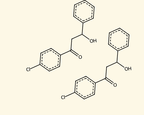 O=C(CC(O)c1ccccc1)c1ccc(Cl)cc1.O=C(CC(O)c1ccccc1)c1ccc(Cl)cc1